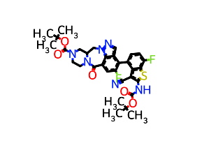 CC(C)(C)OC(=O)Nc1sc2c(F)ccc(-c3c(F)cc4c5c3cnn5CC3CN(C(=O)OC(C)(C)C)CCN3C4=O)c2c1C#N